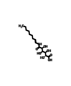 CCCCCCC/C=C/NC(=O)[C@@H](O)[C@H](O)[C@@H](O)[C@@H](O)C(=O)O